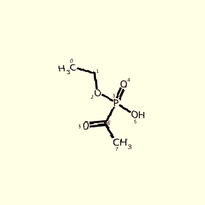 CCOP(=O)(O)C(C)=O